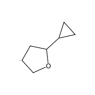 [CH]1COC(C2CC2)C1